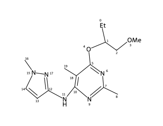 CCC(COC)Oc1nc(C)nc(Nc2ccn(C)n2)c1C